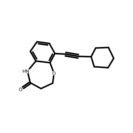 O=C1CCOc2c(C#CC3CCCCC3)cccc2N1